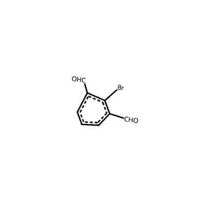 O=Cc1cccc(C=O)c1Br